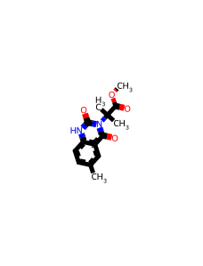 COC(=O)C(C)(C)n1c(=O)[nH]c2ccc(C)cc2c1=O